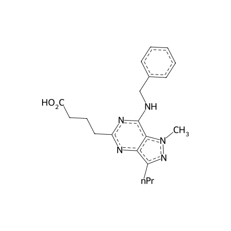 CCCc1nn(C)c2c(NCc3ccccc3)nc(CCCC(=O)O)nc12